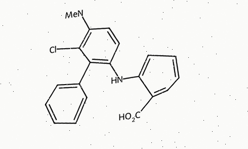 CNc1ccc(Nc2ccccc2C(=O)O)c(-c2ccccc2)c1Cl